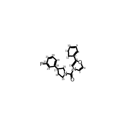 O=C(N1C=COC(C2=CC=CCC2)=C1)N1CCC(c2cccc(F)c2)C1